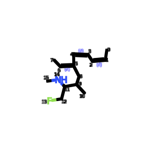 C\C=C/C=C\C(=C/C)CC(C)C(CF)NC